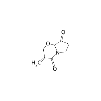 C=C1COC2C(=O)CCN2C1=O